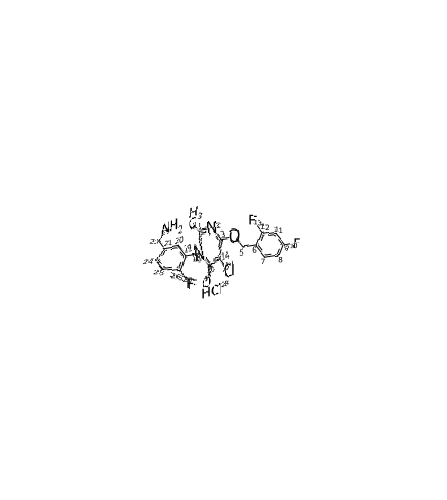 Cc1nc(OCc2ccc(F)cc2F)c(Cl)c(=O)n1-c1cc(CN)ccc1F.Cl